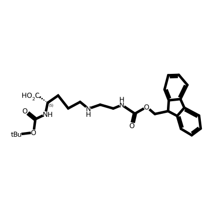 CC(C)(C)OC(=O)N[C@@H](CCCNCCNC(=O)OCC1c2ccccc2-c2ccccc21)C(=O)O